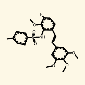 COc1cc(C=Cc2ccc(F)c(OC)c2NS(=O)(=O)c2ccc(C)cc2)cc(OC)c1OC